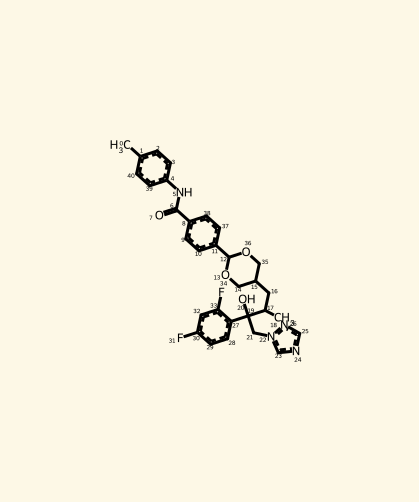 Cc1ccc(NC(=O)c2ccc(C3OCC(CC(C)C(O)(Cn4cncn4)c4ccc(F)cc4F)CO3)cc2)cc1